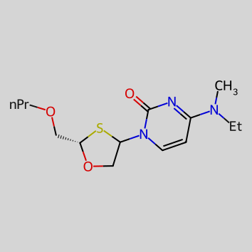 CCCOC[C@H]1OCC(n2ccc(N(C)CC)nc2=O)S1